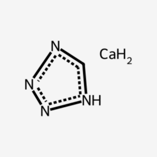 [CaH2].c1nnn[nH]1